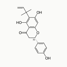 C=CC(C)(C)c1c(O)cc2c(c1O)C(=O)C[C@@H](c1ccc(O)cc1)O2